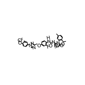 COC(C)c1ccc(C)cc1N1C(=O)CSC1=NC(=O)Nc1ccc(OCc2ncn(-c3ccc(OC(F)(F)F)cc3)n2)cc1F